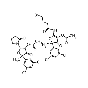 CC(=O)OC1=C(N2CCCC2=O)OC(C)(c2cc(Cl)cc(Cl)c2)C1=O.CC(=O)OC1=C(NC(=O)CCCBr)OC(C)(c2cc(Cl)cc(Cl)c2)C1=O